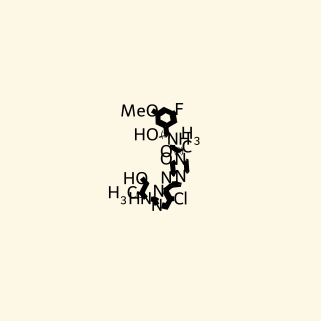 COc1cc(F)cc([C@@H](CO)NC(=O)[C@@H](C)N2CCn3cc(-c4nc(N[C@@H](C)CO)ncc4Cl)nc3C2=O)c1